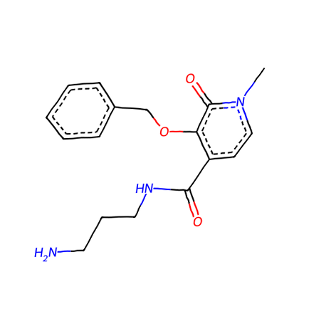 Cn1ccc(C(=O)NCCCN)c(OCc2ccccc2)c1=O